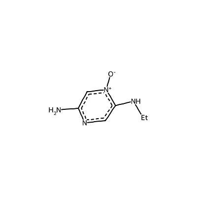 CCNc1cnc(N)c[n+]1[O-]